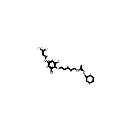 CC(=NOC1CCCCC1)OCCCCCOc1c(Cl)cc(OCC=C(Cl)Cl)cc1Cl